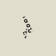 C=CC(=O)N1CCC[C@@H](n2c(=O)n(-c3ccc(Oc4ccc5c(c4)OCCO5)cc3)c3c(N)nccc32)C1